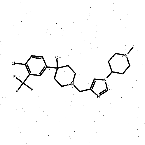 CN1CCC(n2cnc(CN3CCC(O)(c4ccc(Cl)c(C(F)(F)F)c4)CC3)c2)CC1